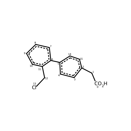 O=C(O)Cc1ccc(-c2ccccc2CCl)cc1